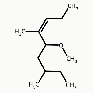 CCC=C(C)C(CC(C)CC)OC